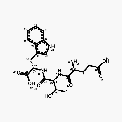 C[C@@H](O)[C@H](NC(=O)[C@@H](N)CCC(=O)O)C(=O)N[C@@H](Cc1c[nH]c2ccccc12)C(=O)O